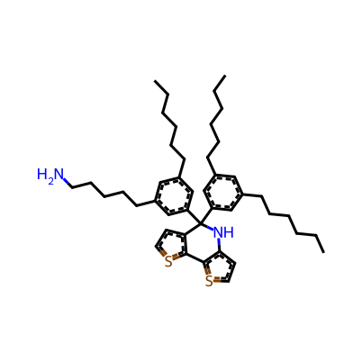 CCCCCCc1cc(CCCCCC)cc(C2(c3cc(CCCCCC)cc(CCCCCN)c3)Nc3ccsc3-c3sccc32)c1